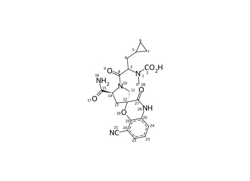 CN(C(=O)O)C(CC1CC1)C(=O)N1C[C@@]2(C[C@H]1C(N)=O)Oc1c(C#N)cccc1NC2=O